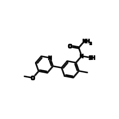 COc1ccnc(-c2ccc(C)c(N(S)C(N)=O)c2)c1